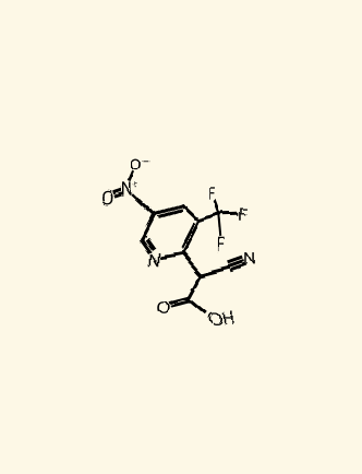 N#CC(C(=O)O)c1ncc([N+](=O)[O-])cc1C(F)(F)F